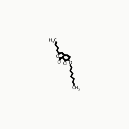 C/C=C/CCc1cc2ccc(OCCCCCCCCC)c(Cl)c2c(=O)o1